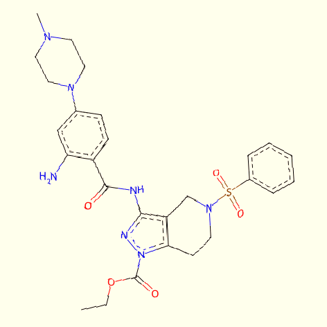 CCOC(=O)n1nc(NC(=O)c2ccc(N3CCN(C)CC3)cc2N)c2c1CCN(S(=O)(=O)c1ccccc1)C2